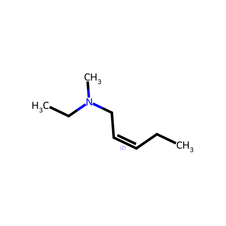 CC/C=C\CN(C)CC